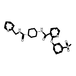 CS(=O)(=O)c1cccc(Oc2ncccc2C(=O)N[C@H]2CC[C@@H](C(=O)NCc3ccccn3)CC2)c1